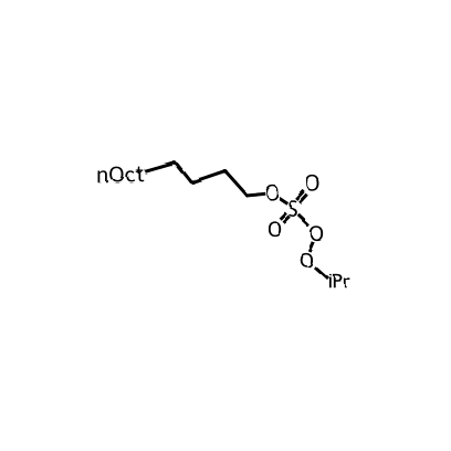 CCCCCCCCCCCCOS(=O)(=O)OOC(C)C